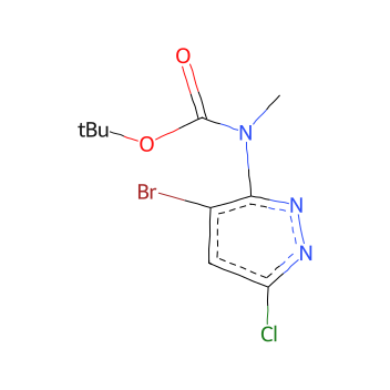 CN(C(=O)OC(C)(C)C)c1nnc(Cl)cc1Br